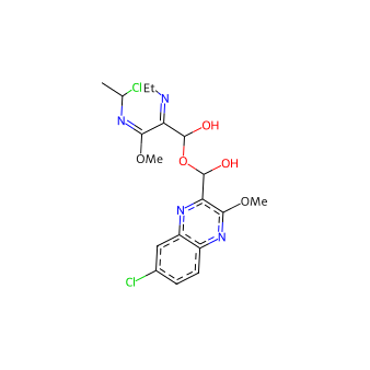 CC/N=C(\C(=N/C(C)Cl)OC)C(O)OC(O)c1nc2cc(Cl)ccc2nc1OC